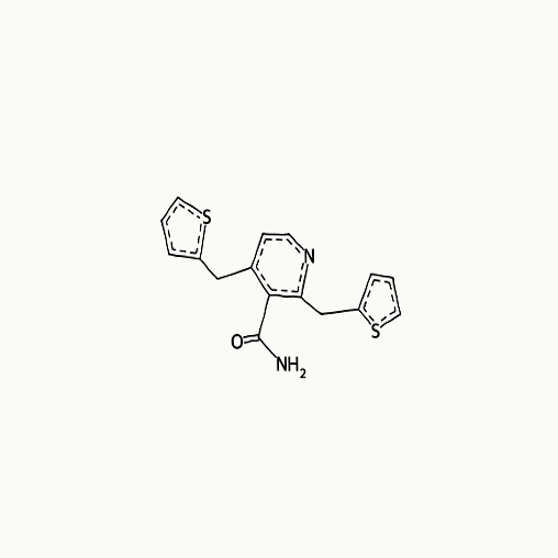 NC(=O)c1c(Cc2cccs2)ccnc1Cc1cccs1